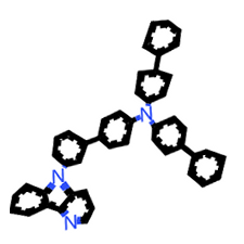 c1ccc(-c2ccc(N(c3ccc(-c4ccccc4)cc3)c3ccc(-c4cccc(-n5c6ccccc6c6ncccc65)c4)cc3)cc2)cc1